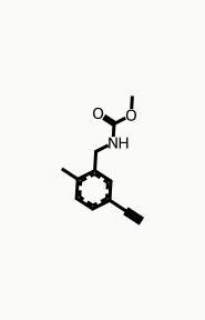 C#Cc1ccc(C)c(CNC(=O)OC)c1